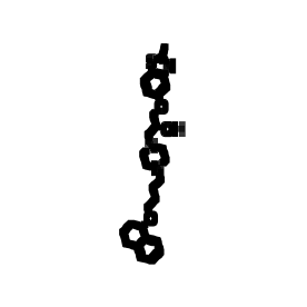 Cc1nc2cc(OC[C@H](O)CN3CCN(CCCCOC4CCCc5ccccc54)CC3)ccc2s1